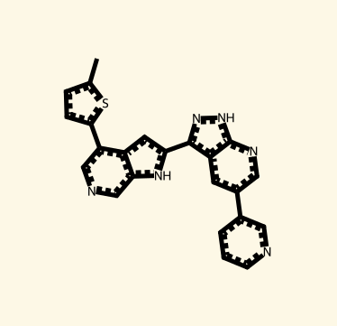 Cc1ccc(-c2cncc3[nH]c(-c4n[nH]c5ncc(-c6cccnc6)cc45)cc23)s1